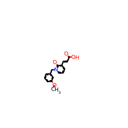 COc1cccc(Cn2cccc(/C=C/C(=O)O)c2=O)c1